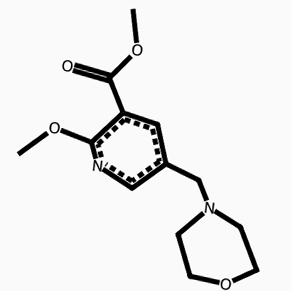 COC(=O)c1cc(CN2CCOCC2)cnc1OC